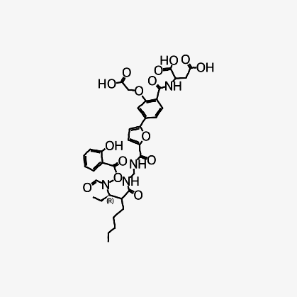 CCCCCC(C(=O)NCNC(=O)c1ccc(-c2ccc(C(=O)NC(CC(=O)O)C(=O)O)c(OCC(=O)O)c2)o1)[C@@H](CC)N(C=O)OC(=O)c1ccccc1O